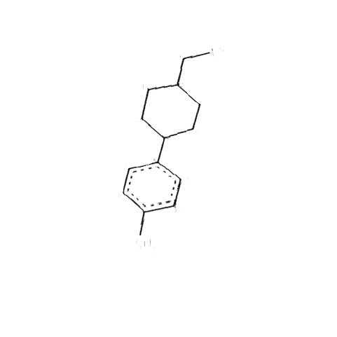 Cc1ccc(C2CCC(CI)CC2)cc1